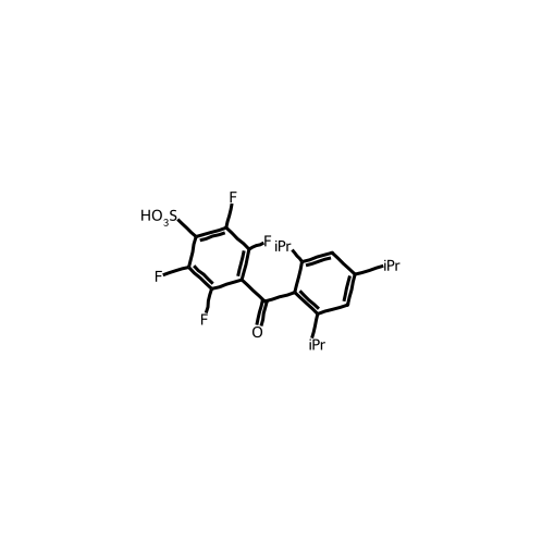 CC(C)c1cc(C(C)C)c(C(=O)c2c(F)c(F)c(S(=O)(=O)O)c(F)c2F)c(C(C)C)c1